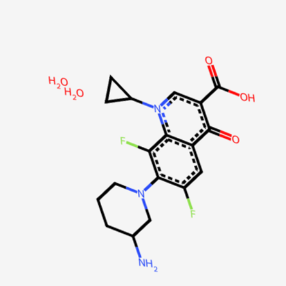 NC1CCCN(c2c(F)cc3c(=O)c(C(=O)O)cn(C4CC4)c3c2F)C1.O.O